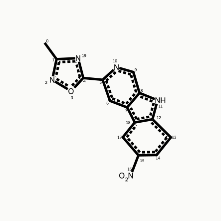 Cc1noc(-c2cc3c(cn2)[nH]c2ccc([N+](=O)[O-])cc23)n1